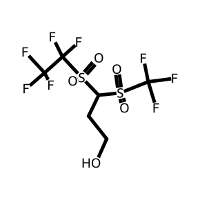 O=S(=O)(C(CCO)S(=O)(=O)C(F)(F)C(F)(F)F)C(F)(F)F